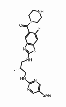 CSc1cnc(NC[C@H](C)CNc2nc3cc(C(=O)N4CCNCC4)c(F)cc3s2)nc1